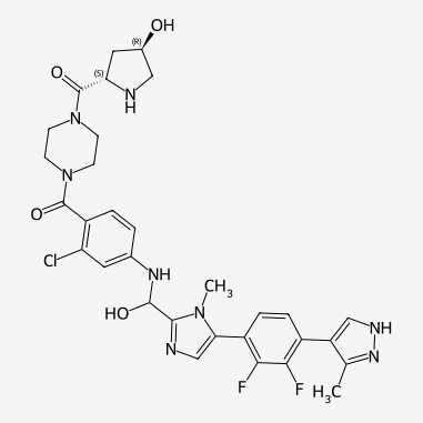 Cc1n[nH]cc1-c1ccc(-c2cnc(C(O)Nc3ccc(C(=O)N4CCN(C(=O)[C@@H]5C[C@@H](O)CN5)CC4)c(Cl)c3)n2C)c(F)c1F